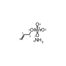 C=CC[O][Mn](=[O])(=[O])=[O].N